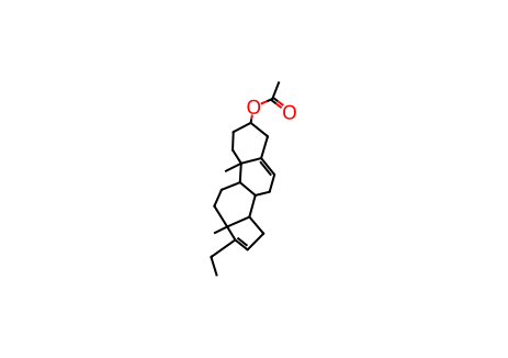 CCC1=CCC2C3CC=C4CC(OC(C)=O)CCC4(C)C3CCC12C